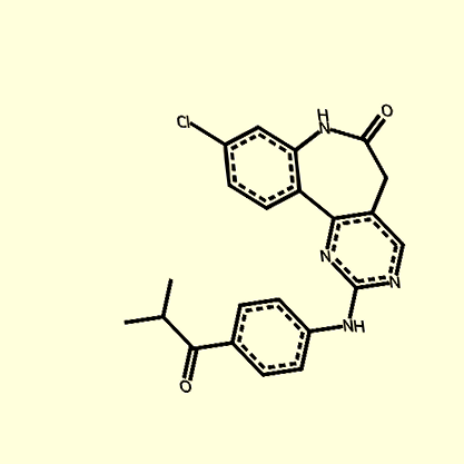 CC(C)C(=O)c1ccc(Nc2ncc3c(n2)-c2ccc(Cl)cc2NC(=O)C3)cc1